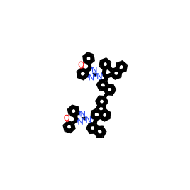 c1ccc2c(c1)Oc1cccc3nc(-n4c5ccc6ccccc6c5c5c6cccc7c6c(cc54)-c4ccc(-c5cccc6c5ccc5c6c6c8ccc9ccccc9c8c8ccccc8c6n5-c5nc6c8c(cccc8n5)Oc5ccccc5-6)cc4-7)nc-2c13